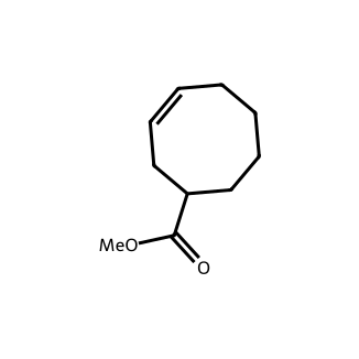 COC(=O)C1CC=CCCCC1